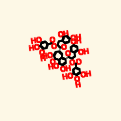 O=C(O[C@H]1Cc2c(O)cc(O)cc2O[C@H]1c1cc(O)c(O)c2c(=O)c(O)cc([C@H]3Oc4cc(O)cc(O)c4C[C@H]3OC(=O)c3cc(O)c(O)c(O)c3)cc12)c1cc(O)c(O)c(O)c1